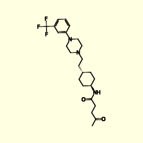 CC(=O)CCC(=O)N[C@H]1CC[C@H](CCN2CCN(c3cccc(C(F)(F)F)c3)CC2)CC1